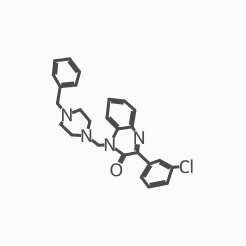 O=c1c(-c2cccc(Cl)c2)nc2ccccc2n1CN1CCN(Cc2ccccc2)CC1